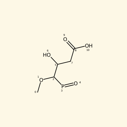 COC(P=O)C(O)CC(=O)O